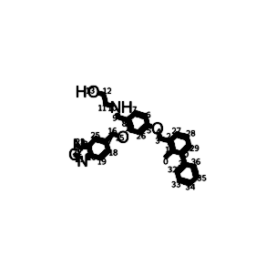 Cc1c(COc2ccc(CNCCO)c(OCc3ccc4nonc4c3)c2)cccc1-c1ccccc1